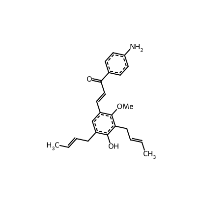 CC=CCc1cc(C=CC(=O)c2ccc(N)cc2)c(OC)c(CC=CC)c1O